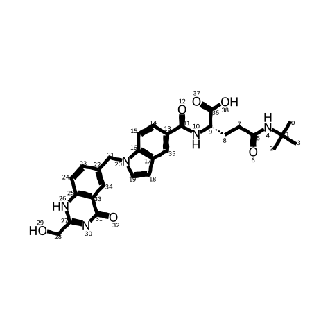 CC(C)(C)NC(=O)CC[C@H](NC(=O)c1ccc2c(ccn2Cc2ccc3[nH]c(CO)nc(=O)c3c2)c1)C(=O)O